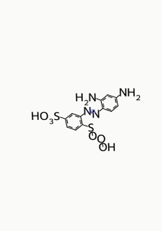 Nc1ccc(/N=N/c2cc(S(=O)(=O)O)ccc2SOOO)c(N)c1